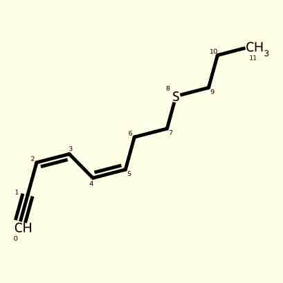 C#C/C=C\C=C/CCSCCC